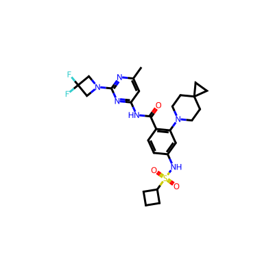 Cc1cc(NC(=O)c2ccc(NS(=O)(=O)C3CCC3)cc2N2CCC3(CC2)CC3)nc(N2CC(F)(F)C2)n1